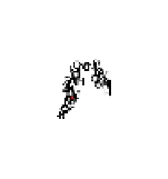 CN(C)c1ccc(-n2cc(-c3cnc(C(=O)Nc4ccc(C(=O)N5CCN(C(=O)C6CC[N+](CC(=O)O)(CC7CNC7)CC6)CC5)c(F)c4)n3C)c(C(F)(F)F)n2)c(F)c1